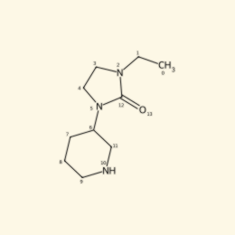 CCN1CCN(C2CCCNC2)C1=O